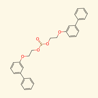 O=S(OCCOc1cccc(-c2ccccc2)c1)OCCOc1cccc(-c2ccccc2)c1